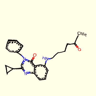 COC(=O)CCCCNc1cccc2nc(C3CC3)n(-c3ccccc3)c(=O)c12